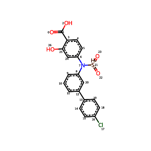 O=C(O)c1ccc(N(c2cccc(-c3ccc(Cl)cc3)c2)[SH](=O)=O)cc1O